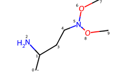 [CH2]C(N)CCN(OC)OC